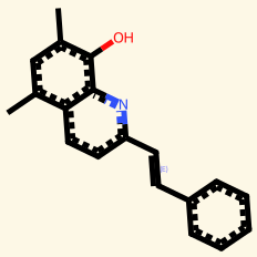 Cc1cc(C)c2ccc(/C=C/c3ccccc3)nc2c1O